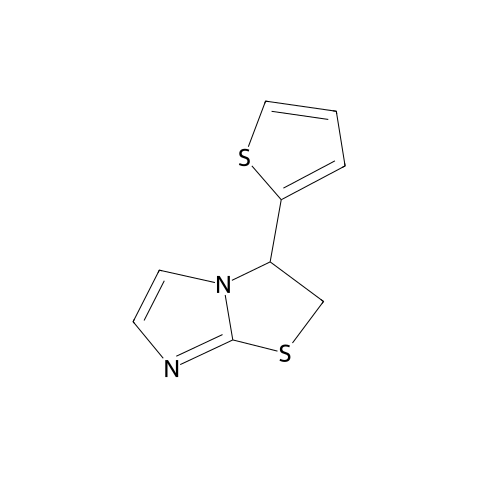 c1csc(C2CSc3nccn32)c1